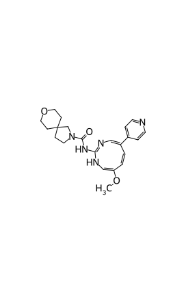 COc1ccc(-c2ccncc2)cnc(NC(=O)N2CCC3(CCOCC3)C2)[nH]c1